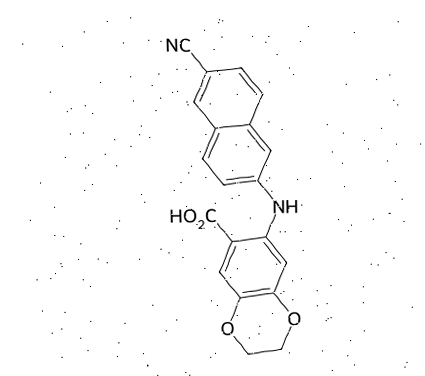 N#Cc1ccc2cc(Nc3cc4c(cc3C(=O)O)OCCO4)ccc2c1